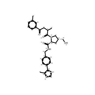 Cc1cccc(C(=O)CC(C)C(=O)N2C[C@H](CO)C[C@H]2C(=O)NCc2ccc(-c3scnc3C)cc2)c1